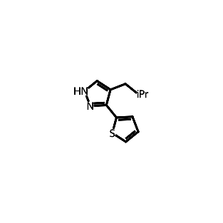 CC(C)Cc1c[nH]nc1-c1cccs1